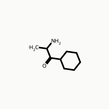 [CH2]C(N)C(=O)C1CCCCC1